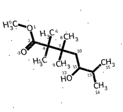 COC(=O)C(C)(C)C(C)(C)CC(O)C(C)C